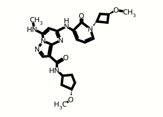 CNc1cc(Nc2cccn([C@H]3C[C@H](OC)C3)c2=O)nc2c(C(=O)NC3CC[C@H](OC)C3)cnn12